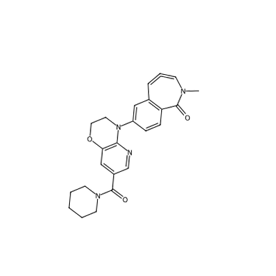 CN1C=C=Cc2cc(N3CCOc4cc(C(=O)N5CCCCC5)cnc43)ccc2C1=O